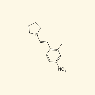 Cc1cc([N+](=O)[O-])ccc1C=CN1CCCC1